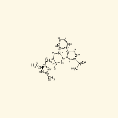 CC(=O)c1ccc(-c2nccnc2N2CCN(Cc3c(C)nn(C)c3C)CC2)cc1